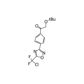 CC(C)(C)OCC(=O)c1ccc(-c2noc(C(F)(F)Cl)n2)cc1